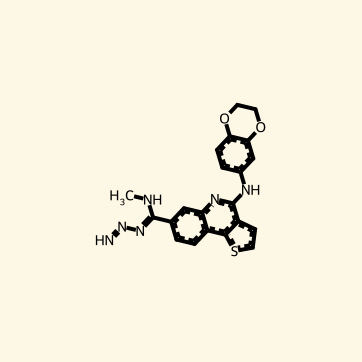 CN/C(=N\N=N)c1ccc2c(c1)nc(Nc1ccc3c(c1)OCCO3)c1ccsc12